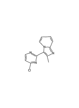 Cc1nc2ccccn2c1-c1nccc(Cl)n1